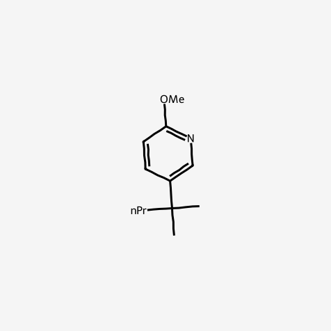 CCCC(C)(C)c1ccc(OC)nc1